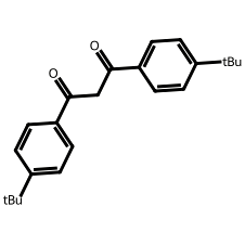 CC(C)(C)c1ccc(C(=O)CC(=O)c2ccc(C(C)(C)C)cc2)cc1